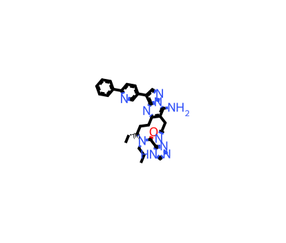 CCCN(C(=O)c1nnc[nH]1)[C@H](CC)CCc1nc2c(-c3ccc(-c4ccccc4)nc3)cnn2c(N)c1CC#N